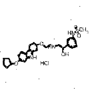 CS(=O)(=O)Nc1cccc(C(O)CNCCOc2ccc3c(c2)[nH]c2cc(OC4CCCC4)ccc23)c1.Cl